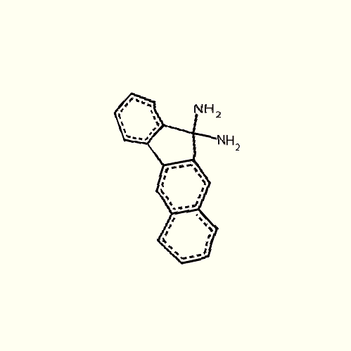 NC1(N)c2ccccc2-c2cc3ccccc3cc21